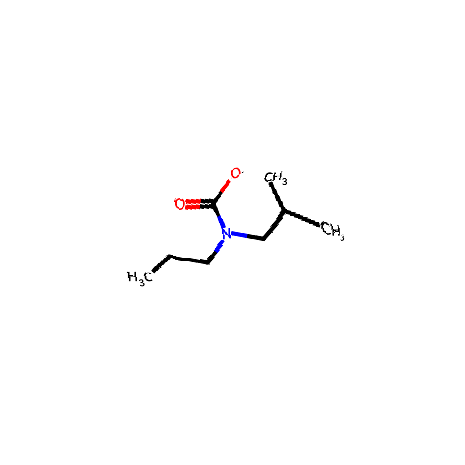 CCCN(CC(C)C)C([O])=O